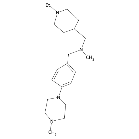 CCN1CCC(CN(C)Cc2ccc(N3CCN(C)CC3)cc2)CC1